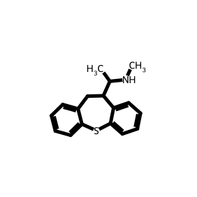 CNC(C)C1Cc2ccccc2Sc2ccccc21